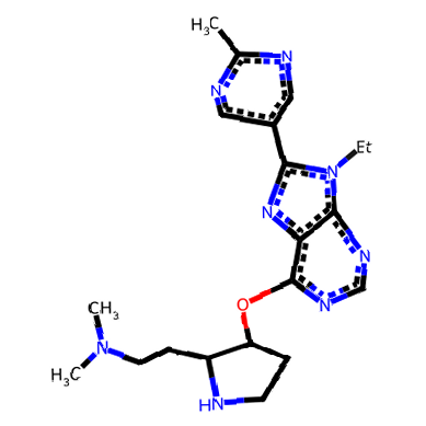 CCn1c(-c2cnc(C)nc2)nc2c(OC3CCNC3CCN(C)C)ncnc21